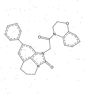 O=C(Cn1c(=O)n2c3c(cc(-c4ccccc4)cc31)CCC2)N1CCOc2ccccc21